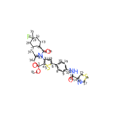 COC(=O)c1sc(-c2ccc(NC(=O)c3cscn3)cc2)cc1N(C(=O)C1CCC(C)(F)CC1)C(C)C